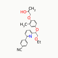 C=C(O)COc1ccc(OC(COCC)c2cccc(-c3ccc(C#N)cc3)n2)cc1C